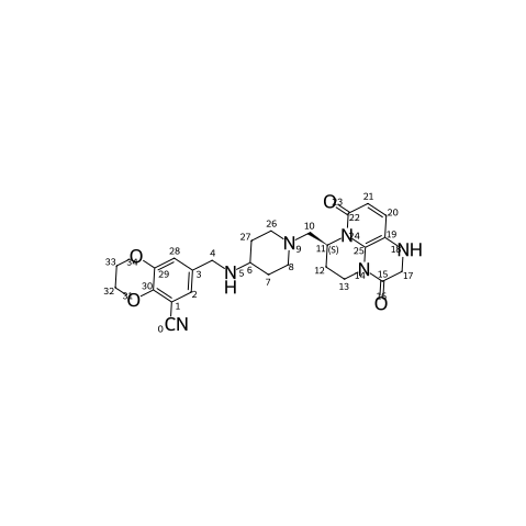 N#Cc1cc(CNC2CCN(C[C@@H]3CCN4C(=O)CNc5ccc(=O)n3c54)CC2)cc2c1OCCO2